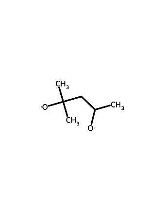 CC([O])CC(C)(C)[O]